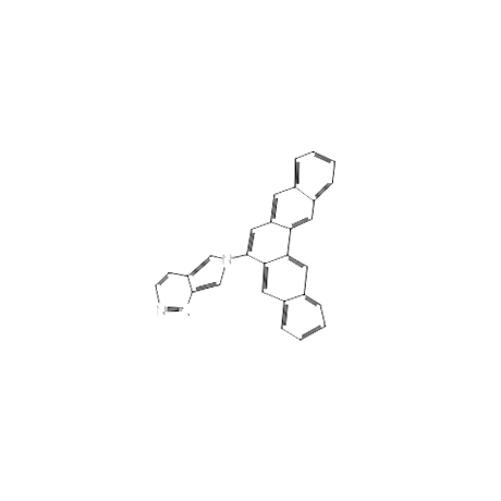 c1ccc2cc3c(cc(-n4cc5ccnnc5c4)c4cc5ccccc5cc43)cc2c1